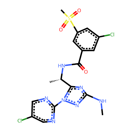 CNc1nc([C@H](C)NC(=O)c2cc(Cl)cc(S(C)(=O)=O)c2)n(-c2ncc(Cl)cn2)n1